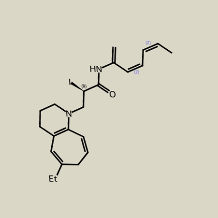 C=C(/C=C\C=C/C)NC(=O)[C@H](I)CN1CCCC2=C1C=CCC(CC)=C2